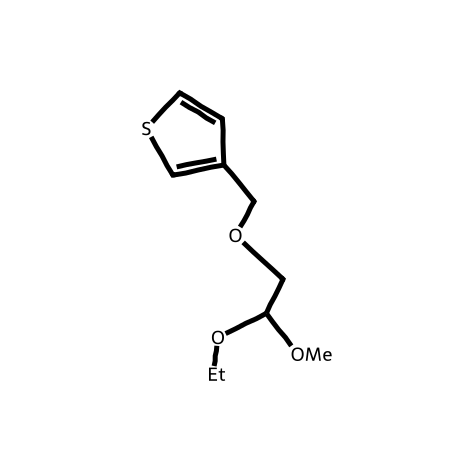 CCOC(COCc1ccsc1)OC